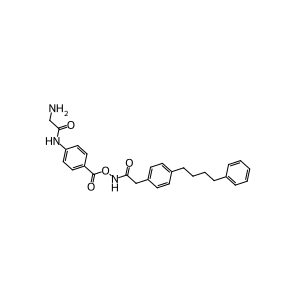 NCC(=O)Nc1ccc(C(=O)ONC(=O)Cc2ccc(CCCCc3ccccc3)cc2)cc1